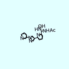 CC(=O)NC(NO)c1cccc(-c2cnn(-c3cccnc3)c2)n1